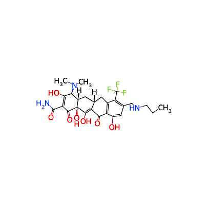 CCCNCc1cc(O)c2c(c1C(F)(F)F)C[C@H]1C[C@H]3[C@H](N(C)C)C(O)=C(C(N)=O)C(=O)[C@@]3(O)C(O)=C1C2=O